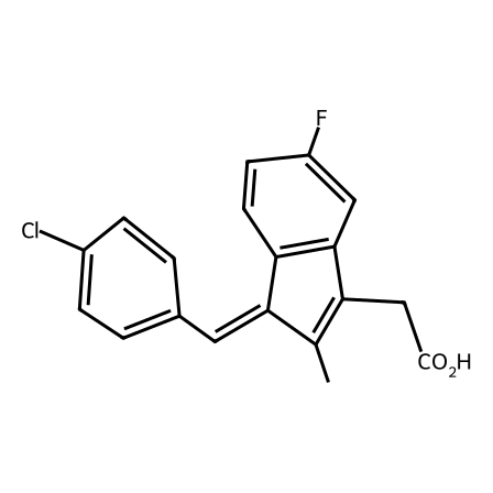 CC1=C(CC(=O)O)c2cc(F)ccc2C1=Cc1ccc(Cl)cc1